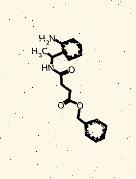 CC(NC(=O)CCC(=O)OCc1ccccc1)c1ccccc1N